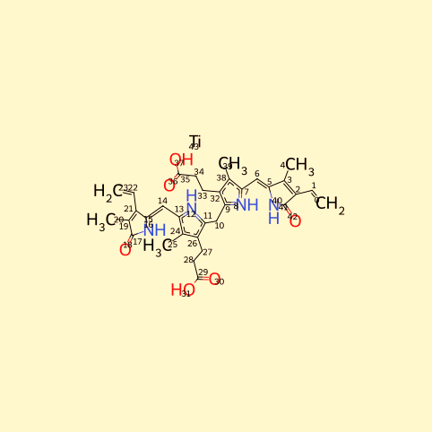 C=CC1=C(C)/C(=C/c2[nH]c(Cc3[nH]c(/C=C4\NC(=O)C(C)=C4C=C)c(C)c3CCC(=O)O)c(CCC(=O)O)c2C)NC1=O.[Ti]